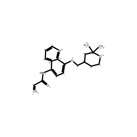 C=CC(=O)Nc1ccc(OCC2CCOC(C)(C)C2)c2ncccc12